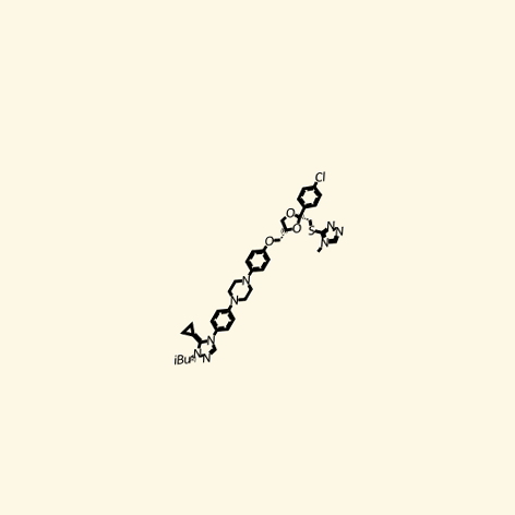 CC[C@@H](C)N1N=CN(c2ccc(N3CCN(c4ccc(OC[C@@H]5CO[C@@](CSc6nncn6C)(c6ccc(Cl)cc6)O5)cc4)CC3)cc2)C1=C1CC1